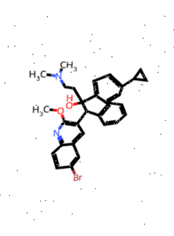 COc1nc2ccc(Br)cc2cc1C(c1ccccc1)C(O)(CCN(C)C)c1ccc(C2CC2)cc1